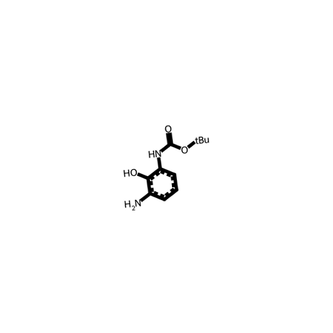 CC(C)(C)OC(=O)Nc1cccc(N)c1O